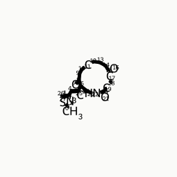 Cc1nc(C=CC23OC2CCCCCCC(=O)CCCC(=O)NCC3C)cs1